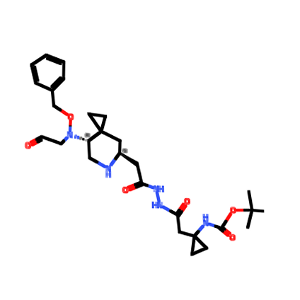 CC(C)(C)OC(=O)NC1(CC(=O)NNC(=O)C[C@@H]2CC3(CC3)[C@@H](N(CC=O)OCc3ccccc3)CN2)CC1